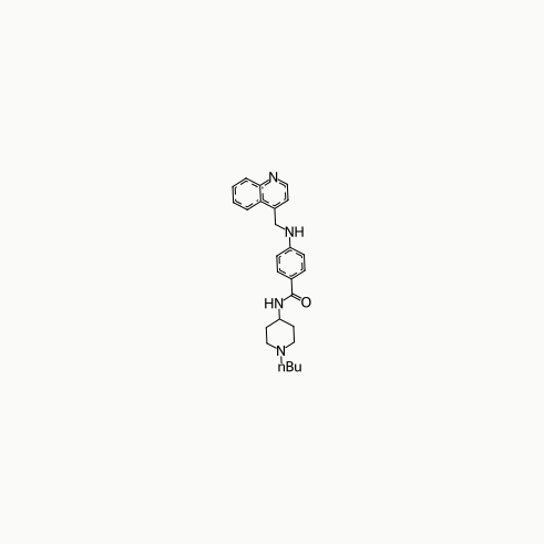 CCCCN1CCC(NC(=O)c2ccc(NCc3ccnc4ccccc34)cc2)CC1